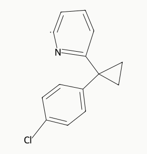 Clc1ccc(C2(c3ccc[c]n3)CC2)cc1